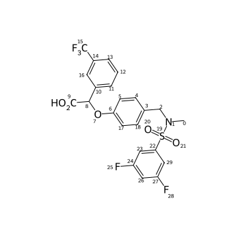 CN(Cc1ccc(OC(C(=O)O)c2cccc(C(F)(F)F)c2)cc1)S(=O)(=O)c1cc(F)cc(F)c1